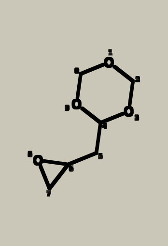 C1OCOC(CC2CO2)O1